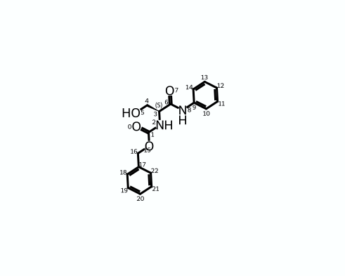 O=C(N[C@@H](CO)C(=O)Nc1ccccc1)OCc1ccccc1